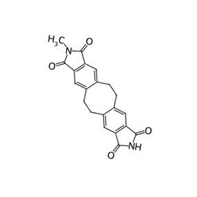 CN1C(=O)c2cc3c(cc2C1=O)CCc1cc2c(cc1CC3)C(=O)NC2=O